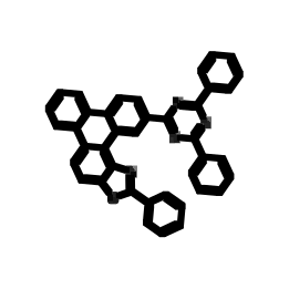 c1ccc(-c2nc(-c3ccccc3)nc(-c3ccc4c5ccccc5c5ccc6oc(-c7ccccc7)nc6c5c4c3)n2)cc1